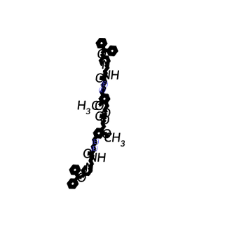 COc1cc(/C=C/C=C/C(=O)NCCN2CCC(OC(c3ccccc3)c3ccccc3)CC2)ccc1CCOC(=O)OCCc1ccc(/C=C/C=C/C(=O)NCCN2CCC(OC(c3ccccc3)c3ccccc3)CC2)cc1OC